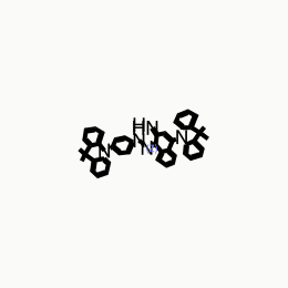 CC1(C)c2ccccc2N(C2=CC(=N)/C(=N\Nc3ccc(N4c5ccccc5C(C)(C)c5ccccc54)cc3)c3ccccc32)c2ccccc21